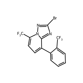 FC(F)(F)c1ccccc1-c1ccc(C(F)(F)F)n2nc(Br)nc12